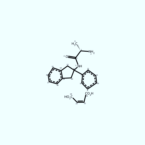 C[C@H](N)C(=O)NC1(c2ccccc2)Cc2ccccc2C1.O=C(O)/C=C\C(=O)O